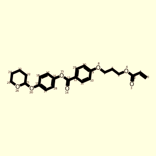 C=CC(=O)OCCCOc1ccc(C(=O)Oc2ccc(OC3CCCCO3)cc2)cc1